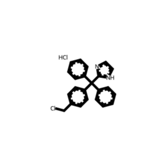 Cl.ClCc1ccc(C(c2ccccc2)(c2ccccc2)c2ncc[nH]2)cc1